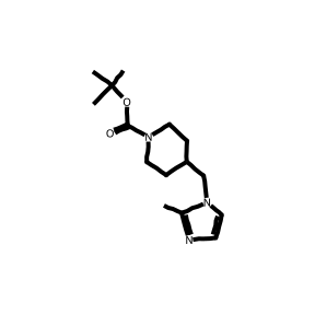 Cc1nccn1CC1CCN(C(=O)OC(C)(C)C)CC1